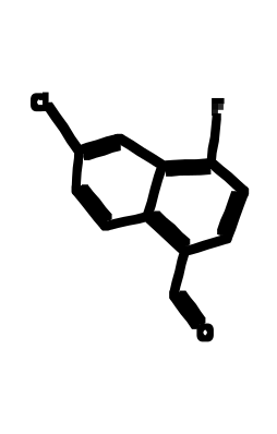 O=Cc1ccc(F)c2cc(Cl)ccc12